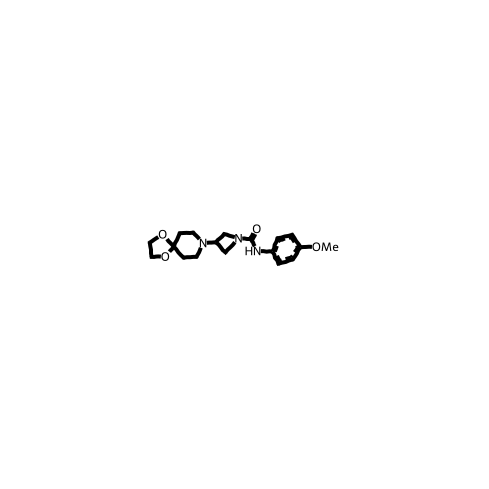 COc1ccc(NC(=O)N2CC(N3CCC4(CC3)OCCO4)C2)cc1